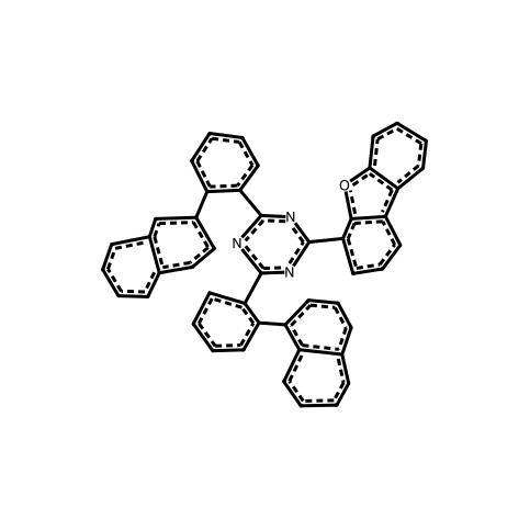 c1ccc(-c2nc(-c3ccccc3-c3cccc4ccccc34)nc(-c3cccc4c3oc3ccccc34)n2)c(-c2ccc3ccccc3c2)c1